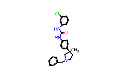 CC1(c2ccc(NC(=O)Nc3cccc(Cl)c3)cc2)CCN(Cc2ccccc2)C1